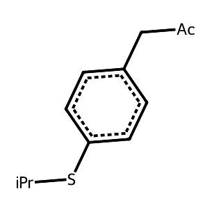 CC(=O)Cc1ccc(SC(C)C)cc1